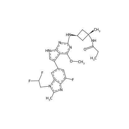 CCC(=O)N[C@]1(C)C[C@@H](Nc2nc(OC)c3c(-c4cc(F)c5nc(C)n(CC(F)F)c5c4)c[nH]c3n2)C1